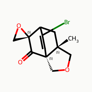 C[C@@]12COC[C@]13C=C(Br)C(C2)[C@]1(CO1)C3=O